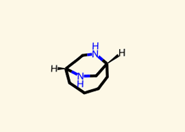 C1CC[C@@H]2CN[C@H](C1)CN2